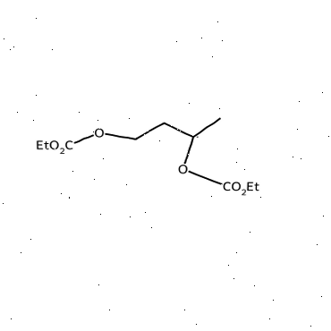 CCOC(=O)OCC[C](C)OC(=O)OCC